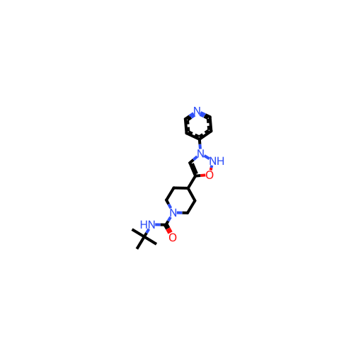 CC(C)(C)NC(=O)N1CCC(C2=CN(c3ccncc3)NO2)CC1